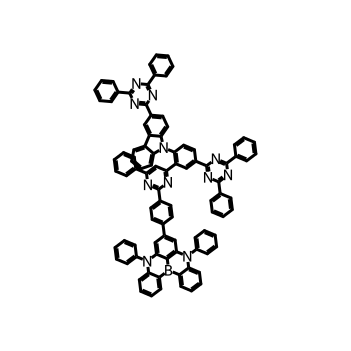 c1ccc(-c2cc(-c3cc(-c4nc(-c5ccccc5)nc(-c5ccccc5)n4)ccc3-n3c4ccccc4c4cc(-c5nc(-c6ccccc6)nc(-c6ccccc6)n5)ccc43)nc(-c3ccc(-c4cc5c6c(c4)N(c4ccccc4)c4ccccc4B6c4ccccc4N5c4ccccc4)cc3)n2)cc1